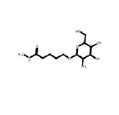 CNC(=O)CCCCOC1OC(CO)C(O)C(O)C1C